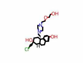 OCCOCCN1CCN(CC[C@@]23CC[C@](O)(C#CCl)C[C@H]2CCc2cc(O)ccc23)CC1